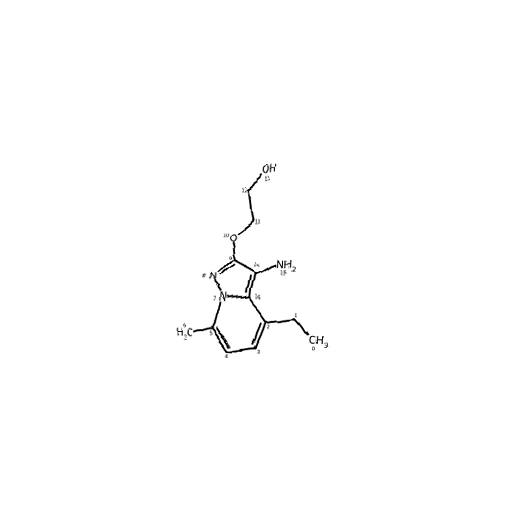 CCc1ccc(C)n2nc(OCCO)c(N)c12